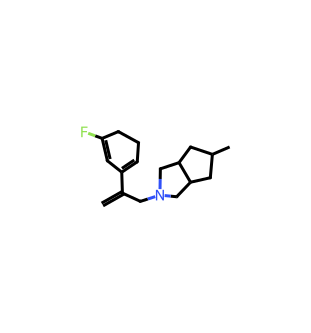 C=C(CN1CC2CC(C)CC2C1)C1=CCCC(F)=C1